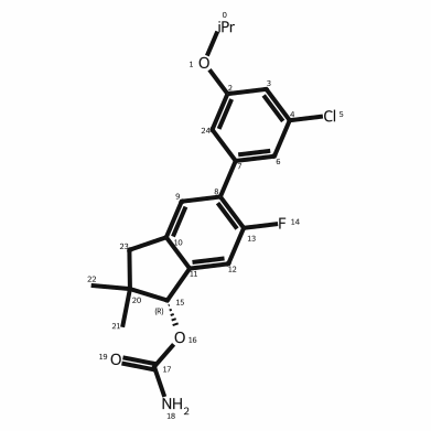 CC(C)Oc1cc(Cl)cc(-c2cc3c(cc2F)[C@H](OC(N)=O)C(C)(C)C3)c1